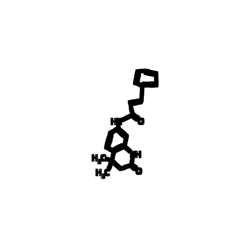 CC1(C)CC(=O)Nc2cc(NC(=O)/C=C/c3ccccc3)ccc21